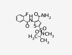 CC(C)N(C)S(=O)(=O)c1cc(C(N)=O)c(NC(=O)c2ccccc2F)s1